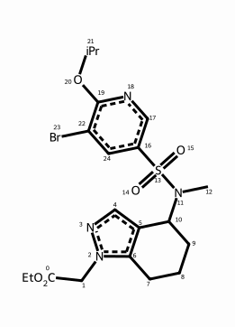 CCOC(=O)Cn1ncc2c1CCCC2N(C)S(=O)(=O)c1cnc(OC(C)C)c(Br)c1